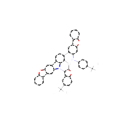 CC(C)(C)c1ccc(Nc2cc3oc4ccccc4c3cc2-c2ccc3c4cc5oc6ccccc6c5cc4n4c3c2Bc2oc3ccc(C(C)(C)C)cc3c2-4)cc1